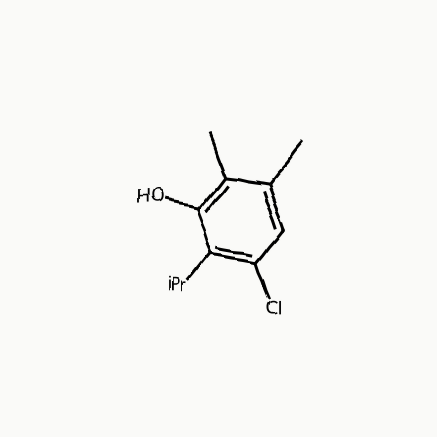 Cc1cc(Cl)c(C(C)C)c(O)c1C